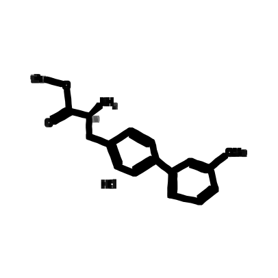 COc1cccc(-c2ccc(C[C@H](N)C(=O)OC(C)(C)C)cc2)c1.Cl